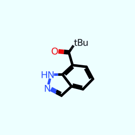 CC(C)(C)C(=O)c1cccc2cn[nH]c12